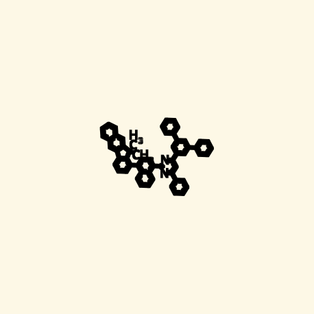 CC1(C)c2cc3ccccc3cc2-c2cccc(-c3ccc(-c4nc(-c5ccccc5)cc(-c5cc(-c6ccccc6)cc(-c6ccccc6)c5)n4)c4ccccc34)c21